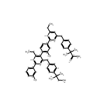 CCc1cc(Cc2ccc(C(C)(C)C(N)=O)cc2)nc(-c2ccc(-c3c(CC)nc(-c4cccc(Cl)c4)nc3Cc3ccc(C(C)(C)CO)cc3)c(Cl)c2)n1